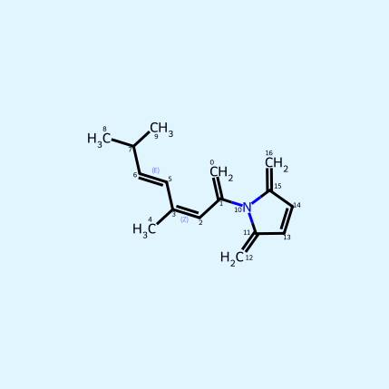 C=C(/C=C(C)\C=C\C(C)C)n1c(=C)ccc1=C